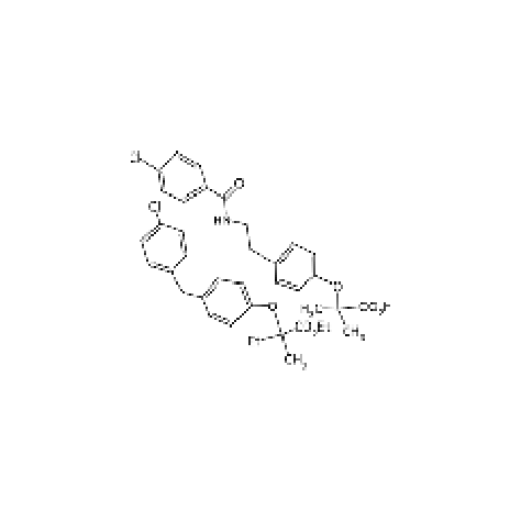 CC(C)(Oc1ccc(CCNC(=O)c2ccc(Cl)cc2)cc1)C(=O)O.CCOC(=O)C(C)(CC)Oc1ccc(Cc2ccc(Cl)cc2)cc1